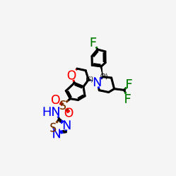 O=S(=O)(Nc1ncns1)c1ccc2c(c1)OCC[C@@H]2N1CCC(C(F)F)C[C@@H]1c1ccc(F)cc1